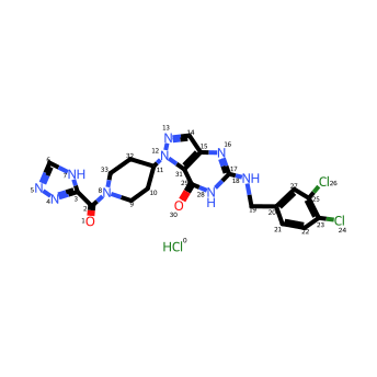 Cl.O=C(c1nnc[nH]1)N1CCC(n2ncc3nc(NCc4ccc(Cl)c(Cl)c4)[nH]c(=O)c32)CC1